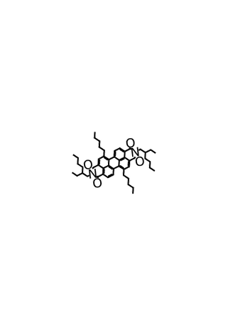 CCCCCc1cc2c3c(ccc4c5c(CCCCC)cc6c7c(ccc(c1c34)c75)C(=O)N(CC(CC)CCCC)C6=O)C(=O)N(CC(CC)CCCC)C2=O